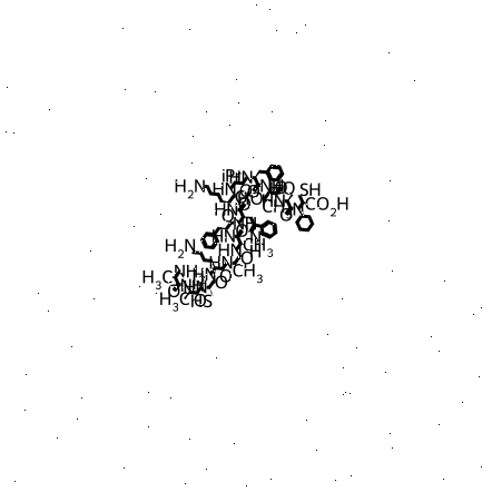 CC(C)[C@@H](NC(=O)[C@H](CCCCN)NC(=O)[C@@H](Cc1c[nH]c2ccccc12)NC(=O)[C@H](Cc1ccccc1)NC(=O)[C@H](C)NC(=O)[C@@H](C)NC(=O)[C@H](CCCCN)NC(=O)[C@H](CS)NC(=O)[C@@H](C)NC(=O)[C@H](C)N)C(=O)N[C@@H](Cc1ccccc1)C(=O)N[C@H](C(=O)N[C@@H](CO)C(=O)N(C1CCCCC1)[C@@H](CS)C(=O)O)[C@@H](C)O